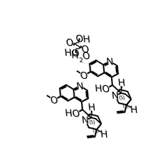 C=C[C@@H]1CN2CCC1C[C@H]2C(O)c1ccnc2ccc(OC)cc12.C=C[C@@H]1CN2CCC1C[C@H]2C(O)c1ccnc2ccc(OC)cc12.O.O=S(=O)(O)O